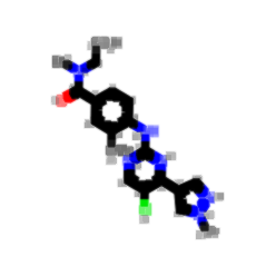 CCN(CC(=O)O)C(=O)c1ccc(Nc2ncc(Cl)c(-c3cnn(C(C)C)c3)n2)c(OC)c1